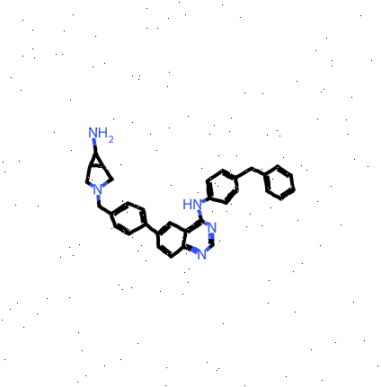 NC1C2CN(Cc3ccc(-c4ccc5ncnc(Nc6ccc(Cc7ccccc7)cc6)c5c4)cc3)CC12